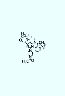 CC(=O)N1CCN(c2nc(NC(C)c3ccccc3C(F)(F)F)c3c(n2)[C@H](C=O)N(C(C)C)C3)CC1